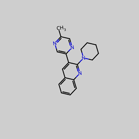 Cc1cnc(-c2cc3ccccc3nc2N2CCCCC2)cn1